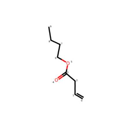 C=CCC(=O)OCCCC